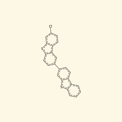 Clc1ccc2c(c1)sc1ccc(-c3ccc4c(c3)sc3ccccc34)cc12